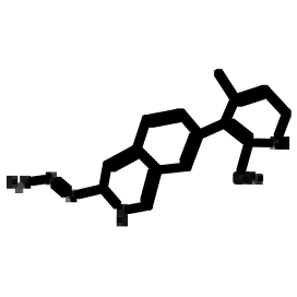 COC1=C(c2ccc3c(c2)=CNC(N=NN)C=3)C(C)=CCN1